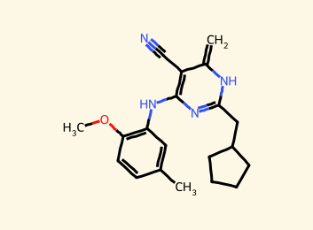 C=C1NC(CC2CCCC2)=NC(Nc2cc(C)ccc2OC)=C1C#N